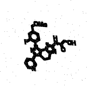 COCc1ccc(-n2nc(-c3cccnc3)c3c2-c2sc(NC(=O)CO)nc2CC3)c(F)c1